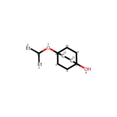 CCC(CC)OC12CCC(O)(CC1)CC2